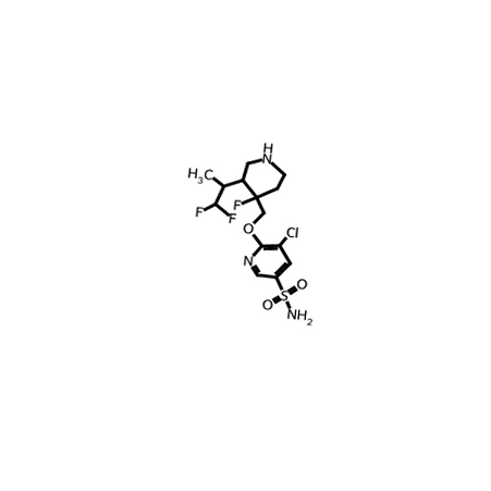 CC(C(F)F)C1CNCCC1(F)COc1ncc(S(N)(=O)=O)cc1Cl